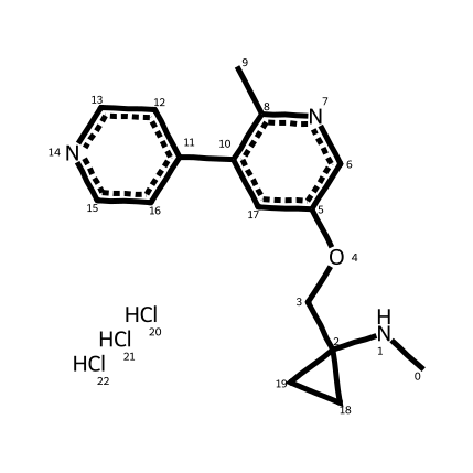 CNC1(COc2cnc(C)c(-c3ccncc3)c2)CC1.Cl.Cl.Cl